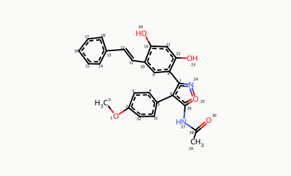 COc1ccc(-c2c(-c3cc(/C=C/c4ccccc4)c(O)cc3O)noc2NC(C)=O)cc1